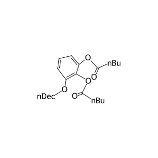 CCCCCCCCCCOc1cccc(OC(=O)CCCC)c1OC(=O)CCCC